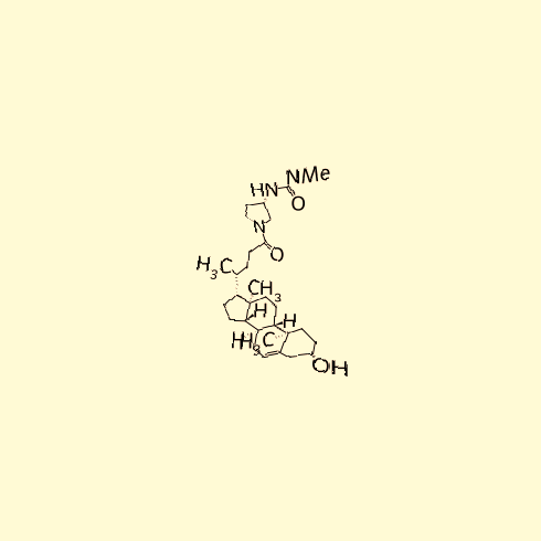 CNC(=O)N[C@H]1CCN(C(=O)CCC(C)[C@H]2CC[C@H]3[C@@H]4CC=C5C[C@@H](O)CC[C@]5(C)[C@H]4CC[C@]23C)C1